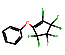 FC1(F)C(Cl)=C(Oc2ccccc2)C(F)(F)C1(F)F